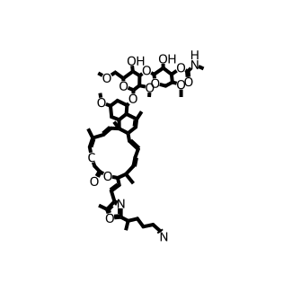 CNC(=O)OC1C(OC)COC(OC2C(O)C(COC)OC(OC3CC(OC)CC4C3C(C)=CC3/C=C/C=C/C(C)C(/C=C/c5nc(C(C)CCCC#N)oc5C)OC(=O)CC/C=C(C)\C=C\C34C)C2OC)C1O